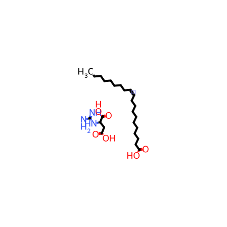 CCCCCCCC/C=C\CCCCCCCCCC(=O)O.N=C(N)NC(CC(=O)O)C(=O)O